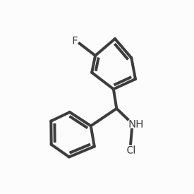 Fc1cccc(C(NCl)c2ccccc2)c1